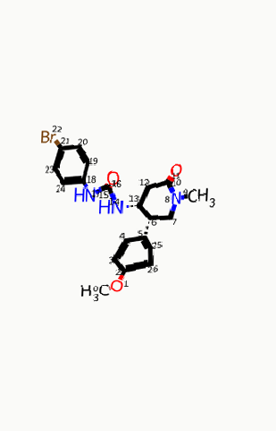 COc1ccc([C@H]2CN(C)C(=O)C[C@H]2NC(=O)Nc2ccc(Br)cc2)cc1